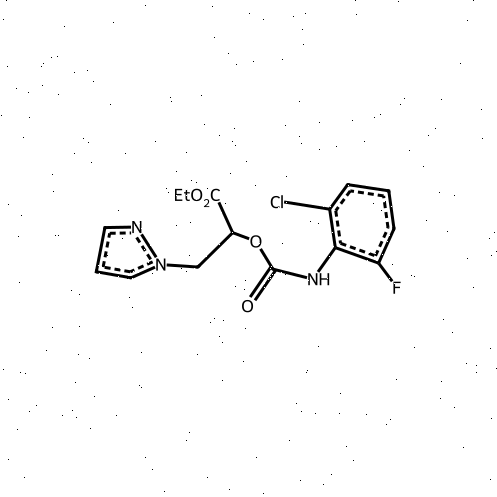 CCOC(=O)C(Cn1cccn1)OC(=O)Nc1c(F)cccc1Cl